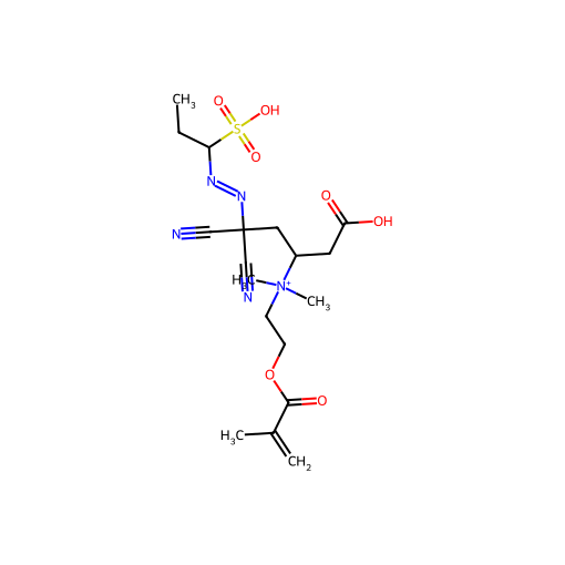 C=C(C)C(=O)OCC[N+](C)(C)C(CC(=O)O)CC(C#N)(C#N)N=NC(CC)S(=O)(=O)O